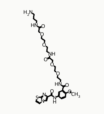 COc1ccc(NC(=O)c2cn3ccsc3n2)cc1C(=O)NCCOCCOCC(=O)NCCOCCOCC(=O)NCCCN